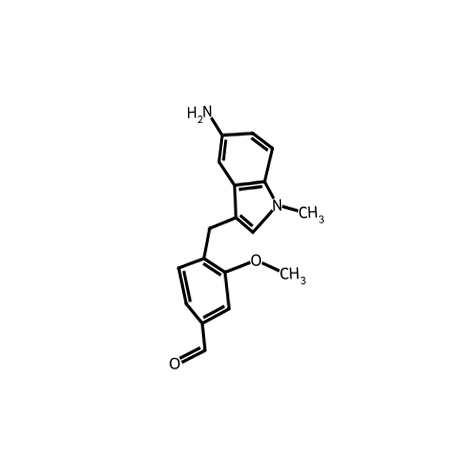 COc1cc(C=O)ccc1Cc1cn(C)c2ccc(N)cc12